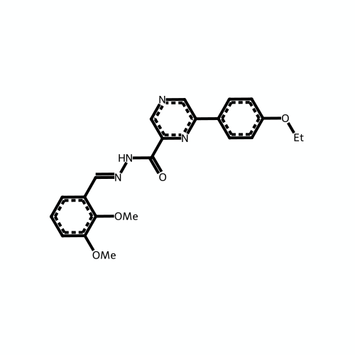 CCOc1ccc(-c2cncc(C(=O)NN=Cc3cccc(OC)c3OC)n2)cc1